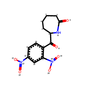 O=C1CCCCC(C(=O)c2ccc([N+](=O)[O-])cc2[N+](=O)[O-])N1